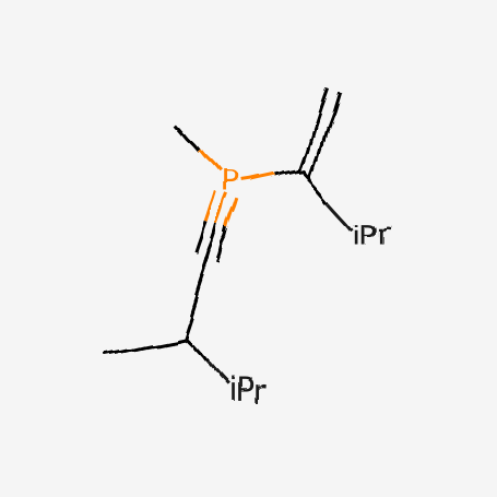 C=C(C(C)C)P(C)#CC(C)C(C)C